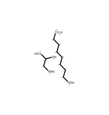 CCCCCCCCCCCC(O)CCCCCCCC.CCCCCCCCCCCCCCCCCC(=O)O